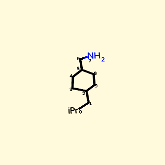 CC(C)CC1CCC(CN)CC1